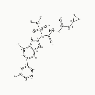 Cc1cc(-c2cc(F)c3nc(C(C(=O)NCC(=O)NC4CC4)S(=O)(=O)N(C)C)sc3c2)cnn1